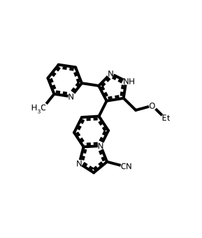 CCOCc1[nH]nc(-c2cccc(C)n2)c1-c1ccc2ncc(C#N)n2c1